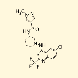 Cn1cc(C(=O)NC2CCCN(Nc3cc(C(F)(F)F)nc4ccc(Cl)cc34)C2)cn1